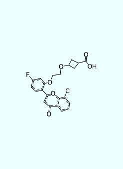 O=C(O)C1CC(OCCOc2cc(F)ccc2-c2cc(=O)c3cccc(Cl)c3o2)C1